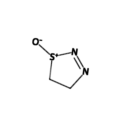 [O-][S+]1CCN=N1